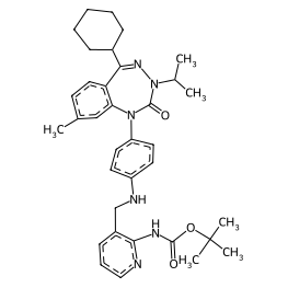 Cc1ccc2c(c1)N(c1ccc(NCc3cccnc3NC(=O)OC(C)(C)C)cc1)C(=O)N(C(C)C)N=C2C1CCCCC1